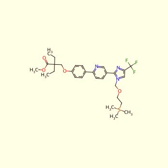 CCC(CC)(COc1ccc(-c2ccc(-c3nc(C(F)(F)F)cn3COCCS(C)(C)C)cn2)cc1)C(=O)OC